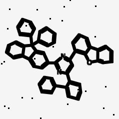 c1ccc(-c2ccccc2-c2cc(-c3cccc4c3oc3ccccc34)nc(-c3ccc4c(c3)C(c3ccccc3)(c3ccccc3)c3ccccc3-4)n2)cc1